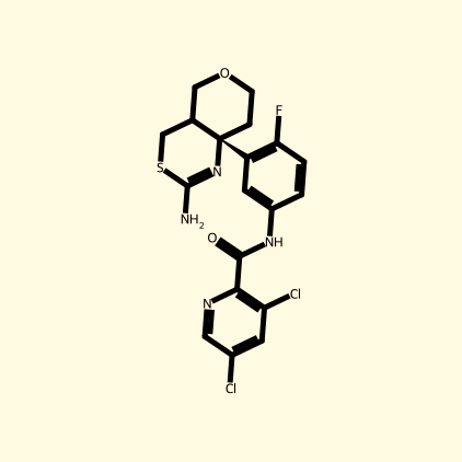 NC1=N[C@@]2(c3cc(NC(=O)c4ncc(Cl)cc4Cl)ccc3F)CCOCC2CS1